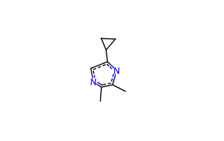 Cc1ncc(C2CC2)nc1C